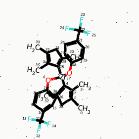 CC1=C(C)[C]([Zr]([O]c2ccc(C(F)(F)F)cc2)([O]c2ccc(C(F)(F)F)cc2)[C]2=C(C)CC(C)=C2C)=C(C)C1